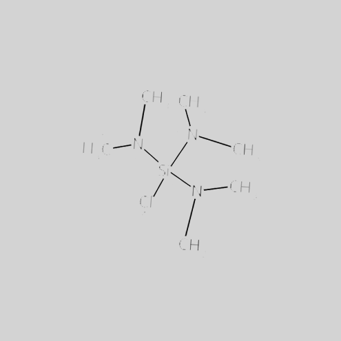 CN(C)[Si](Cl)(N(C)C)N(C)C